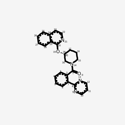 O=C(c1ccccc1-c1ncccn1)N1CCC[C@@H](Oc2nccc3ccccc23)C1